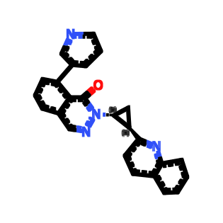 O=c1c2c(-c3cccnc3)cccc2cnn1[C@@H]1C[C@H]1c1ccc2ccccc2n1